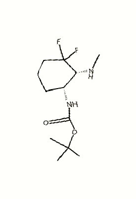 CN[C@@H]1[C@H](NC(=O)OC(C)(C)C)CCCC1(F)F